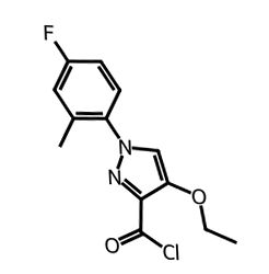 CCOc1cn(-c2ccc(F)cc2C)nc1C(=O)Cl